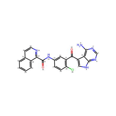 Nc1ncnc2[nH]cc(C(=O)c3cc(NC(=O)c4nccc5ccccc45)ccc3Cl)c12